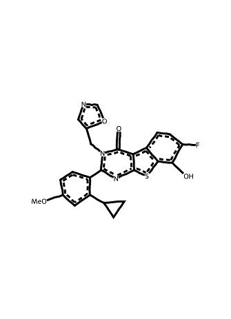 COc1ccc(-c2nc3sc4c(O)c(F)ccc4c3c(=O)n2Cc2cnco2)c(C2CC2)c1